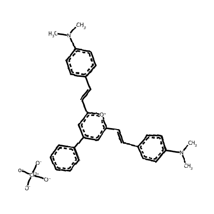 CN(C)c1ccc(/C=C/c2cc(-c3ccccc3)cc(/C=C/c3ccc(N(C)C)cc3)[o+]2)cc1.[O-][Cl+3]([O-])([O-])[O-]